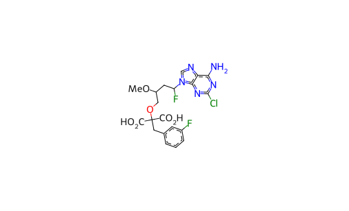 COC(COC(Cc1cccc(F)c1)(C(=O)O)C(=O)O)CC(F)n1cnc2c(N)nc(Cl)nc21